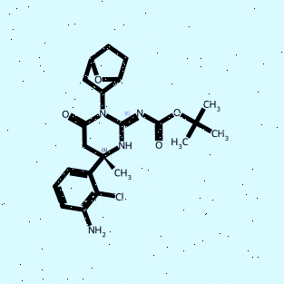 CC(C)(C)OC(=O)/N=C1\N[C@](C)(c2cccc(N)c2Cl)CC(=O)N1C1CC2CCC1O2